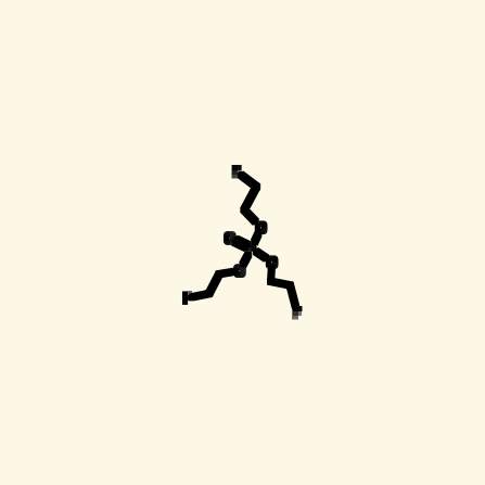 O=P(OCCF)(OCCF)OCCF